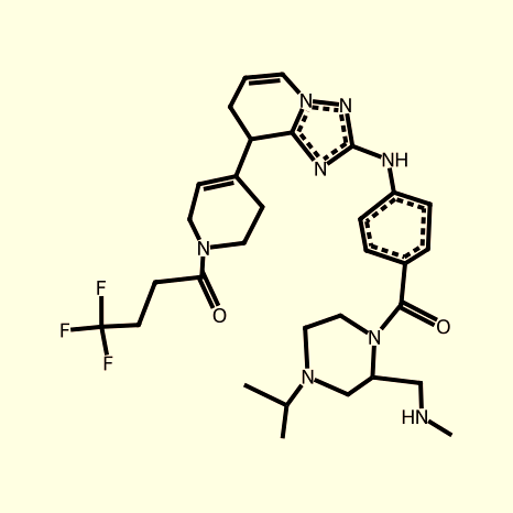 CNCC1CN(C(C)C)CCN1C(=O)c1ccc(Nc2nc3n(n2)C=CCC3C2=CCN(C(=O)CCC(F)(F)F)CC2)cc1